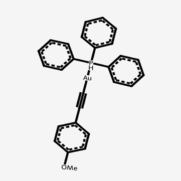 COc1ccc(C#[C][Au][PH](c2ccccc2)(c2ccccc2)c2ccccc2)cc1